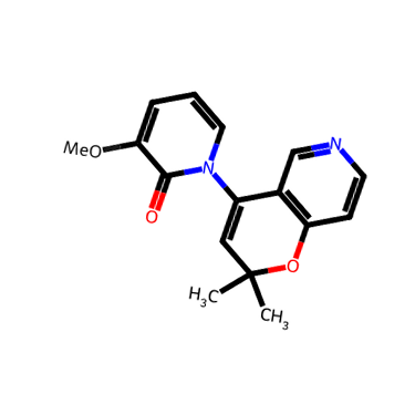 COc1cccn(C2=CC(C)(C)Oc3ccncc32)c1=O